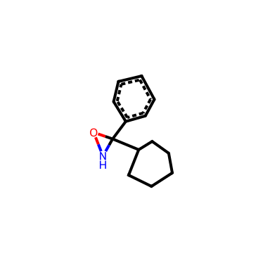 c1ccc(C2(C3CCCCC3)NO2)cc1